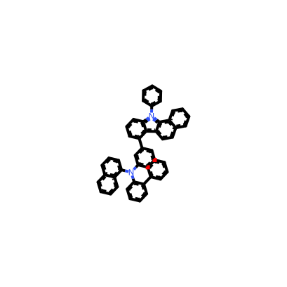 c1ccc(-c2ccccc2N(c2cccc(-c3cccc4c3c3ccc5ccccc5c3n4-c3ccccc3)c2)c2cccc3ccccc23)cc1